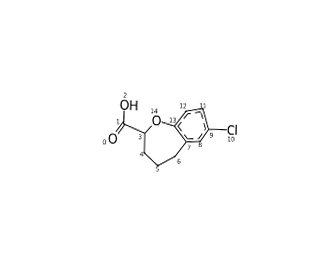 O=C(O)C1CCCc2cc(Cl)ccc2O1